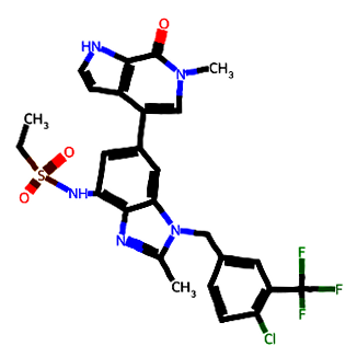 CCS(=O)(=O)Nc1cc(-c2cn(C)c(=O)c3[nH]ccc23)cc2c1nc(C)n2Cc1ccc(Cl)c(C(F)(F)F)c1